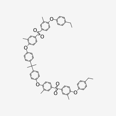 CCc1ccc(Oc2ccc(S(=O)(=O)c3ccc(Oc4ccc(C(C)(C)c5ccc(Oc6ccc(S(=O)(=O)c7ccc(Oc8ccc(CC)cc8)c(C)c7)cc6C)cc5)cc4)c(C)c3)cc2C)cc1